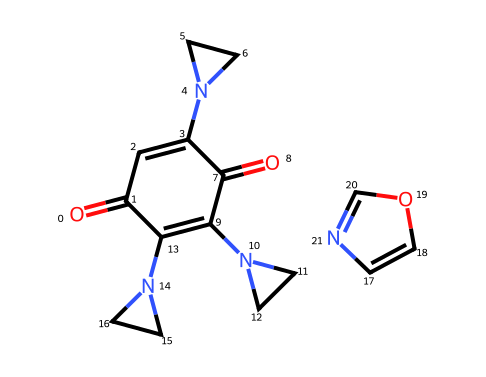 O=C1C=C(N2CC2)C(=O)C(N2CC2)=C1N1CC1.c1cocn1